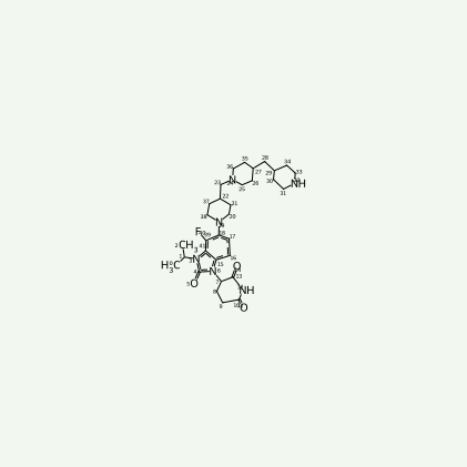 CC(C)n1c(=O)n(C2CCC(=O)NC2=O)c2ccc(N3CCC(CN4CCC(CC5CCNCC5)CC4)CC3)c(F)c21